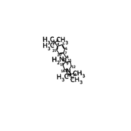 CC(C)(C)c1ccc(CC2(N)CCN(C(C)(C)C)CC2)cc1